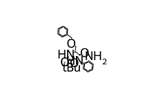 CC(C)(C)OC(=O)N[C@@H](COCc1ccccc1)C(=O)Nc1ccccc1N